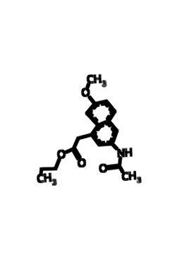 CCCOC(=O)Cc1cc(NC(C)=O)cc2ccc(OC)cc12